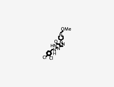 COCCN1CCC(n2ncc3nc(NCc4ccc(Cl)c(Cl)c4)[nH]c(=O)c32)CC1